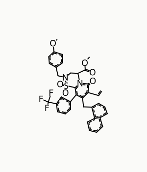 C=Cc1c(Cc2cccc3ccccc23)c(-c2cccc(C(F)(F)F)c2)c2n(c1=O)C(C(=O)OC)CN(Cc1ccc(OC)cc1)S2(=O)=O